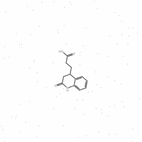 O=C(O)CCC1CC(=O)Nc2ccccc21